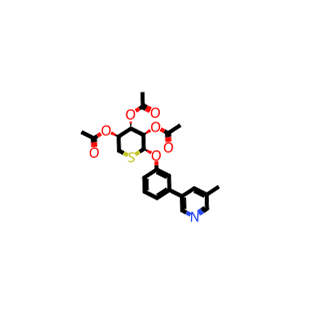 CC(=O)O[C@@H]1[C@@H](OC(C)=O)[C@@H](Oc2cccc(-c3cncc(C)c3)c2)SC[C@H]1OC(C)=O